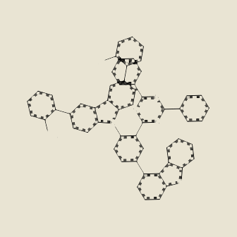 Cc1ccccc1-c1ccc2c(c1)c1cc(-c3ccccc3C)ccc1n2-c1ccc(-c2cccc3oc4ccccc4c23)cc1-c1nc(-c2ccccc2)nc(-c2ccccc2)n1